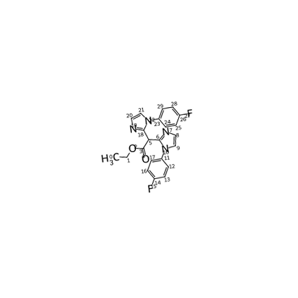 CCOC(=O)C(c1nccn1-c1ccc(F)cc1)c1nccn1-c1ccc(F)cc1